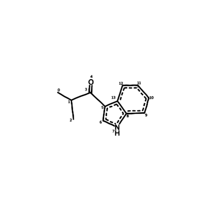 CC(C)C(=O)c1c[nH]c2cc[c]cc12